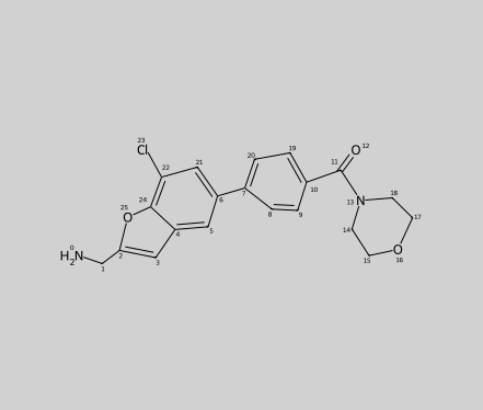 NCc1cc2cc(-c3ccc(C(=O)N4CCOCC4)cc3)cc(Cl)c2o1